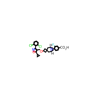 O=C(O)c1ccc(N2[C@@H]3CC[C@H]2CC2(CC(OCc4c(-c5c(Cl)cccc5Cl)noc4C4CC4)C2)C3)c(F)c1